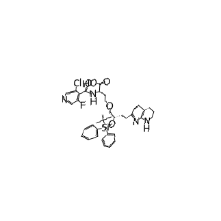 CC(C)(C)[Si](O[C@@H](CCc1ccc2c(n1)NCCC2)COCCC(NC(=O)c1c(F)cncc1Cl)C(=O)O)(c1ccccc1)c1ccccc1